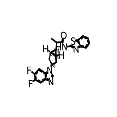 CC(C(=O)Nc1nc2ccccc2s1)[C@H]1[C@@H]2C[C@@H](n3cnc4cc(F)c(F)cc43)C[C@@H]21